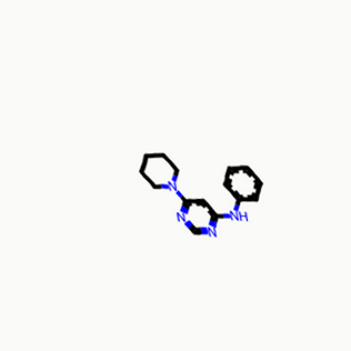 c1ccc(Nc2cc(N3CCCCC3)ncn2)cc1